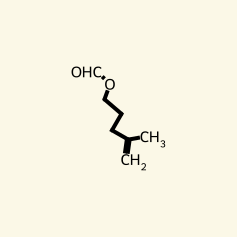 C=C(C)CCCOC=O